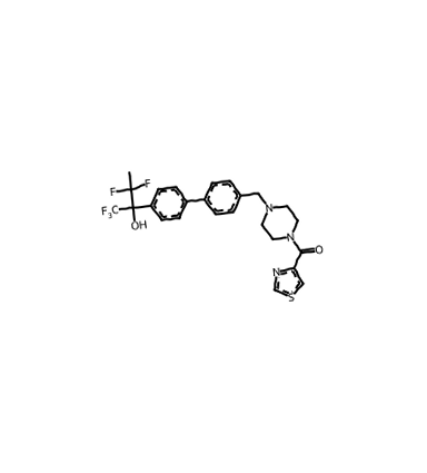 CC(F)(F)C(O)(c1ccc(-c2ccc(CN3CCN(C(=O)c4cscn4)CC3)cc2)cc1)C(F)(F)F